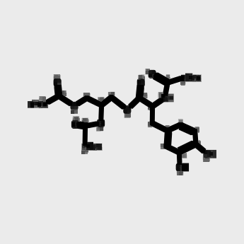 CCCCCCC(=O)NC(Cc1ccc(O)c(O)c1)C(=O)OCC(COC(=O)CCCCCC)OC(=O)CCCCCC